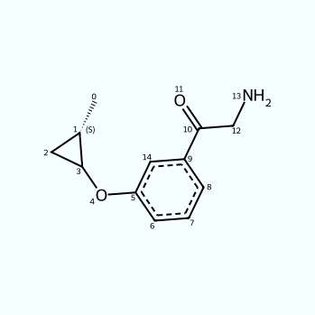 C[C@H]1CC1Oc1cccc(C(=O)CN)c1